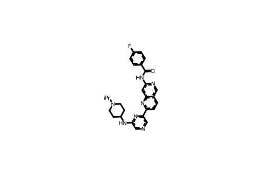 CC(C)N1CCC(Nc2cncc(-c3ccc4cnc(NC(=O)c5ccc(F)cc5)cc4n3)n2)CC1